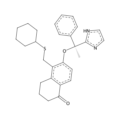 C[C@](Oc1ccc2c(c1CSC1CCCCC1)CCCC2=O)(c1ccccc1)c1ncc[nH]1